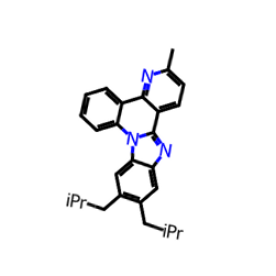 Cc1ccc2c(n1)c1ccccc1n1c3cc(CC(C)C)c(CC(C)C)cc3nc21